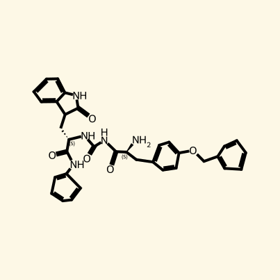 N[C@@H](Cc1ccc(OCc2ccccc2)cc1)C(=O)NC(=O)N[C@@H](CC1C(=O)Nc2ccccc21)C(=O)Nc1ccccc1